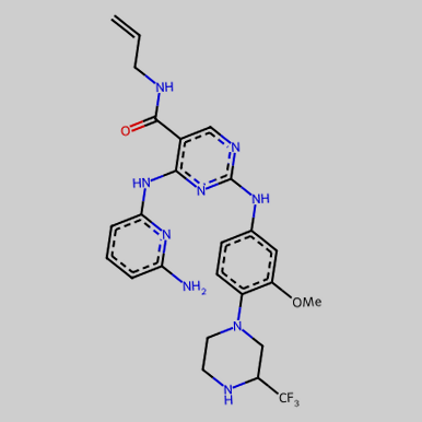 C=CCNC(=O)c1cnc(Nc2ccc(N3CCNC(C(F)(F)F)C3)c(OC)c2)nc1Nc1cccc(N)n1